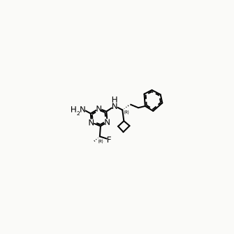 C[C@@H](F)c1nc(N)nc(N[C@H](CCc2ccccc2)C2CCC2)n1